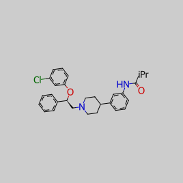 CC(C)C(=O)Nc1cccc(C2CCN(C[C@H](Oc3cccc(Cl)c3)c3ccccc3)CC2)c1